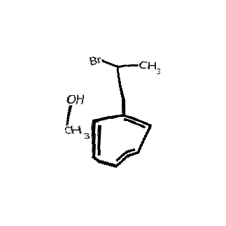 CC(Br)c1ccccc1.CO